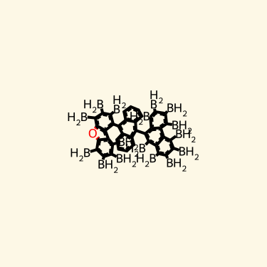 Bc1c(B)c(B)c2c(oc3c(B)c(B)c(B)c(-c4c5ccccc5c(-c5c(B)c6c(B)c(B)c(B)c(B)c6c6c(B)c(B)c(B)c(B)c56)c5ccccc45)c32)c1B